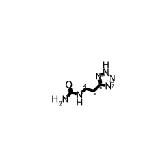 NC(=O)NCCc1nn[nH]n1